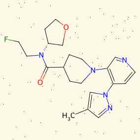 Cc1cnn(-c2ccncc2N2CCC(C(=O)N(CCF)[C@@H]3CCOC3)CC2)c1